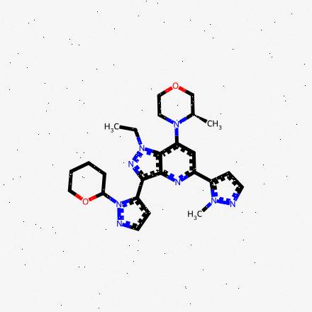 CCn1nc(-c2ccnn2C2CCCCO2)c2nc(-c3ccnn3C)cc(N3CCOC[C@H]3C)c21